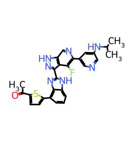 CC(=O)c1ccc(-c2cccc3[nH]c(-c4n[nH]c5cnc(-c6cncc(NC(C)C)c6)c(F)c45)nc23)s1